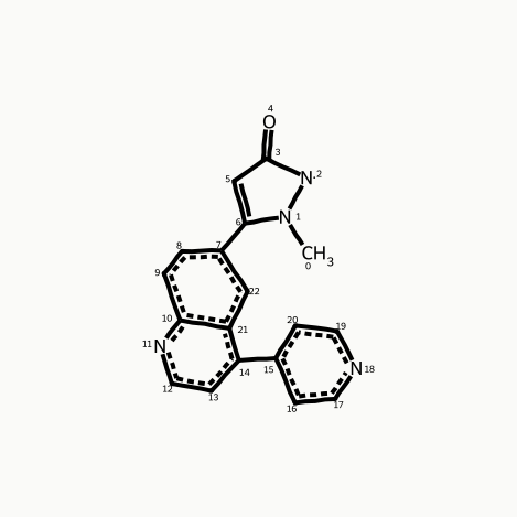 CN1[N]C(=O)C=C1c1ccc2nccc(-c3ccncc3)c2c1